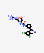 CN1Cc2c(Cl)cc(Cl)cc2C(c2cccc(NC(=O)N[C@@H](CCCNC(=N)N)CC(=O)O)c2)C1